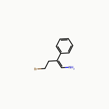 N/C=C(/CCBr)c1ccccc1